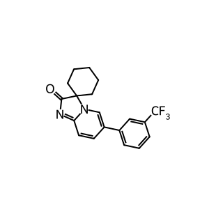 O=C1N=C2C=CC(c3cccc(C(F)(F)F)c3)=CN2C12CCCCC2